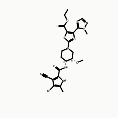 CCOC(=O)c1sc(N2CC[C@@H](NC(=O)c3[nH]c(C)c(Br)c3C#N)[C@@H](OC)C2)nc1-c1ncnn1C